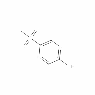 CS(=O)(=O)c1cnc(O)cn1